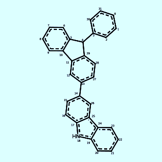 c1ccc(C2c3ccccc3-c3cc(-c4ccc5[nH]c6ccccc6c5c4)ccc32)cc1